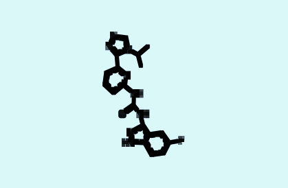 CC(C)n1cnnc1-c1cccc(NC(=O)Nc2n[nH]c3ccc(F)cc23)n1